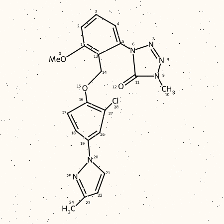 COc1cccc(-n2nnn(C)c2=O)c1COc1ccc(-n2ccc(C)n2)cc1Cl